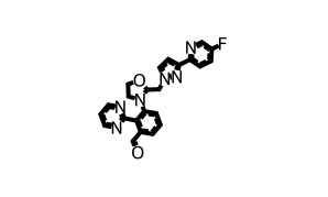 O=Cc1cccc(N2CCOC2Cn2ccc(-c3ccc(F)cn3)n2)c1-c1ncccn1